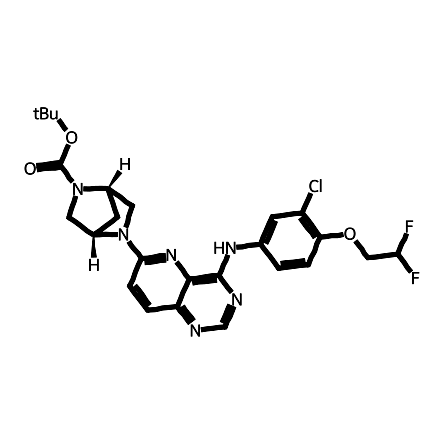 CC(C)(C)OC(=O)N1C[C@@H]2C[C@H]1CN2c1ccc2ncnc(Nc3ccc(OCC(F)F)c(Cl)c3)c2n1